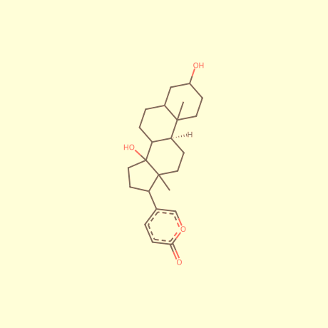 CC12CCC(O)CC1CCC1[C@@H]2CCC2(C)C(c3ccc(=O)oc3)CCC12O